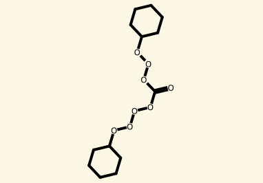 O=C(OOOOC1CCCCC1)OOOC1CCCCC1